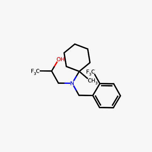 CC1(N(Cc2ccccc2C(F)(F)F)CC(O)C(F)(F)F)CCCCC1